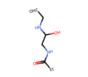 CCC(=O)NCC(O)NCC=O